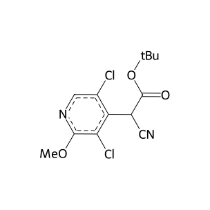 COc1ncc(Cl)c(C(C#N)C(=O)OC(C)(C)C)c1Cl